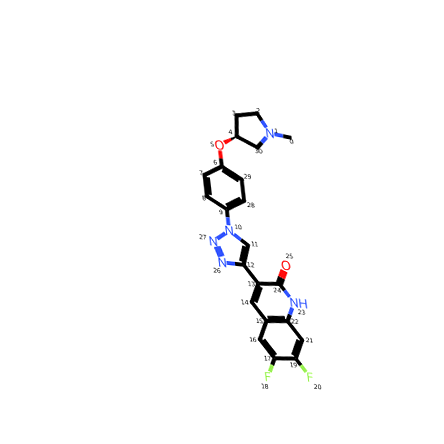 CN1CC[C@H](Oc2ccc(-n3cc(-c4cc5cc(F)c(F)cc5[nH]c4=O)nn3)cc2)C1